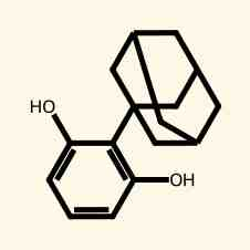 Oc1cccc(O)c1C12CC3CC(CC(C3)C1)C2